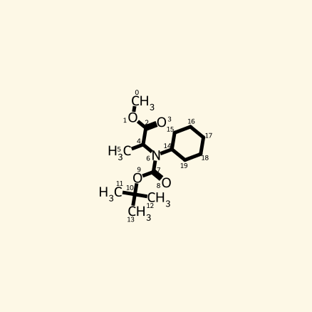 COC(=O)C(C)N(C(=O)OC(C)(C)C)C1CCCCC1